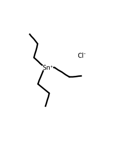 CC[CH2][Sn+]([CH2]CC)[CH2]CC.[Cl-]